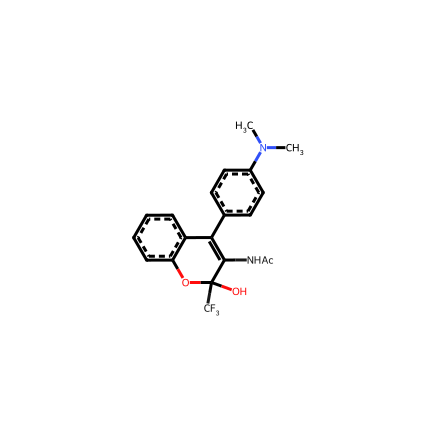 CC(=O)NC1=C(c2ccc(N(C)C)cc2)c2ccccc2OC1(O)C(F)(F)F